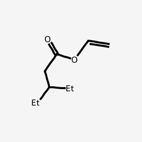 C=COC(=O)CC(CC)CC